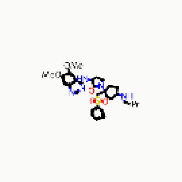 COc1cc2ncnc(N[C@H]3CCN(C4(CS(=O)(=O)c5ccccc5)CCC(NCC(C)C)CC4)C3=O)c2cc1OC